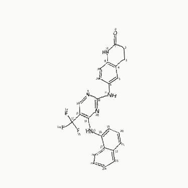 O=C1CCc2cc(Nc3ncc(C(F)(F)F)c(Nc4cccc5ccccc45)n3)ccc2N1